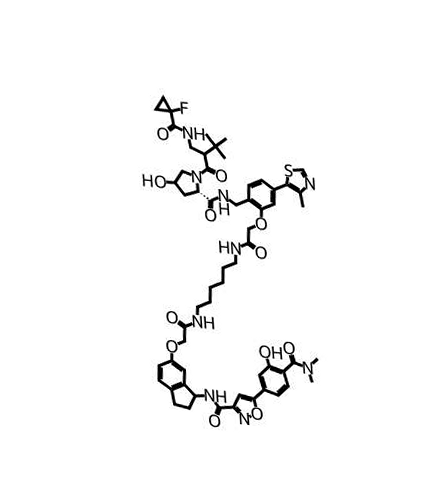 Cc1ncsc1-c1ccc(CNC(=O)[C@@H]2CC(O)CN2C(=O)C(CNC(=O)C2(F)CC2)C(C)(C)C)c(OCC(=O)NCCCCCCNC(=O)COc2ccc3c(c2)C(NC(=O)c2cc(-c4ccc(C(=O)N(C)C)c(O)c4)on2)CC3)c1